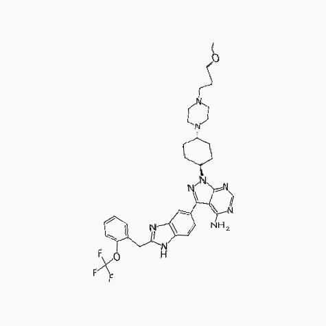 COCCCN1CCN([C@H]2CC[C@H](n3nc(-c4ccc5[nH]c(Cc6ccccc6OC(F)(F)F)nc5c4)c4c(N)ncnc43)CC2)CC1